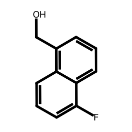 OCc1cccc2c(F)cccc12